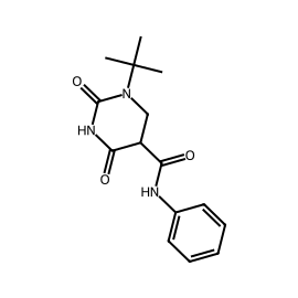 CC(C)(C)N1CC(C(=O)Nc2ccccc2)C(=O)NC1=O